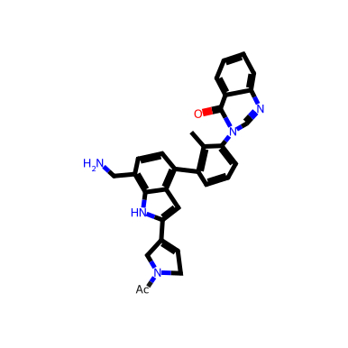 CC(=O)N1CC=C(c2cc3c(-c4cccc(-n5cnc6ccccc6c5=O)c4C)ccc(CN)c3[nH]2)C1